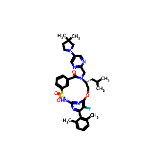 Cc1cccc(C)c1-c1nc2nc(c1F)OC[C@@H](CC(C)C)N(Cc1ncc(N3CCC(C)(C)C3)cn1)C(=O)c1cccc(c1)S(=O)(=O)N2